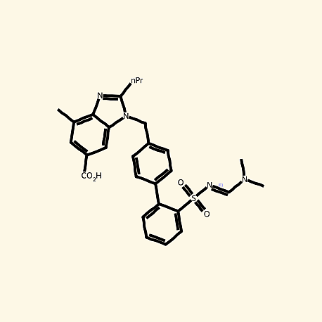 CCCc1nc2c(C)cc(C(=O)O)cc2n1Cc1ccc(-c2ccccc2S(=O)(=O)/N=C/N(C)C)cc1